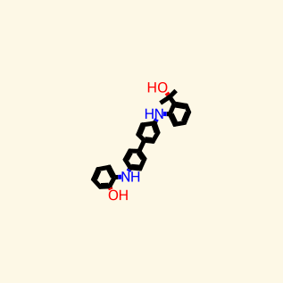 CC(C)(O)c1ccccc1Nc1ccc(-c2ccc(Nc3ccccc3O)cc2)cc1